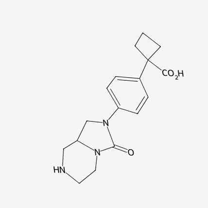 O=C1N(c2ccc(C3(C(=O)O)CCC3)cc2)CC2CNCCN12